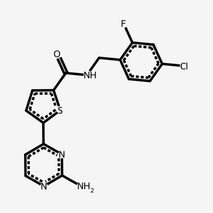 Nc1nccc(-c2ccc(C(=O)NCc3ccc(Cl)cc3F)s2)n1